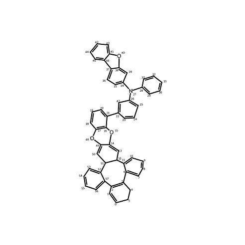 C1=CC2=C(CC1)c1ccccc1C1C=C3Oc4c(cccc4-c4cccc(N(c5ccccc5)c5ccc6c(c5)oc5ccccc56)c4)OC3=CC1c1ccccc12